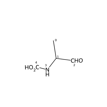 CC(C=O)NC(=O)O